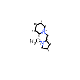 CN1CCCC1CN1CCCCC1